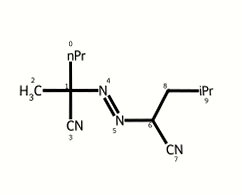 CCCC(C)(C#N)N=NC(C#N)CC(C)C